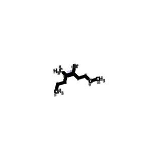 CCC/C(C)=C(/Br)CCOC